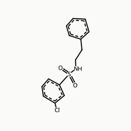 O=S(=O)(NCCc1ccccc1)c1cccc(Cl)c1